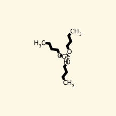 CCCC[O][GeH]([O]CCCC)[O]CCCC